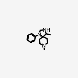 CC1NCN(c2ccccc2)C12CCN(C)CC2